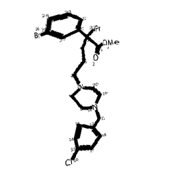 COC(=O)C(CCCN1CCN(Cc2ccc(Cl)cc2)CC1)(c1cccc(Br)c1)C(C)C